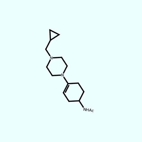 CC(=O)NC1CC=C(N2CCN(CC3CC3)CC2)CC1